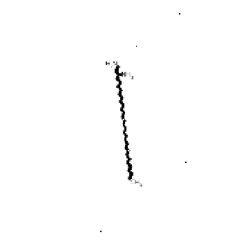 CCCCCCCCCCCCCCCCCCCCCCCCCCCCC(N)CCN